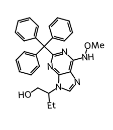 CCC(CO)n1cnc2c(NOC)nc(C(c3ccccc3)(c3ccccc3)c3ccccc3)nc21